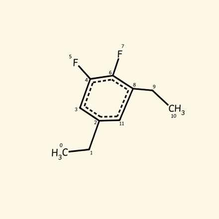 CCc1cc(F)c(F)c(CC)c1